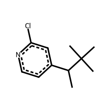 CC(c1ccnc(Cl)c1)C(C)(C)C